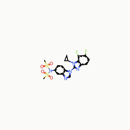 CS(=O)(=O)N(c1ccc2c(c1)ncn2-c1nc2ccc(F)c(F)c2n1C1CC1)S(C)(=O)=O